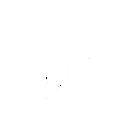 N#Cc1ccc2ncc(-c3cncc(N[C@H]4CNC[C@H]4C4CC4)n3)n2c1